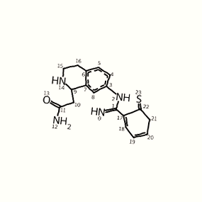 N=C(Nc1ccc2c(c1)C(CC(N)=O)NCC2)C1=CC=CCC1=S